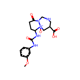 COc1cccc(NC(=O)NC2CCC(=O)N3CNCC(C(=O)O)C[N+]23[O-])c1